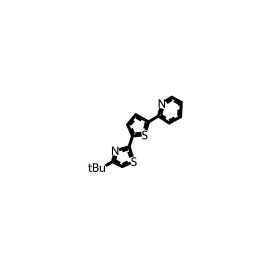 CC(C)(C)c1csc(-c2ccc(-c3ccccn3)s2)n1